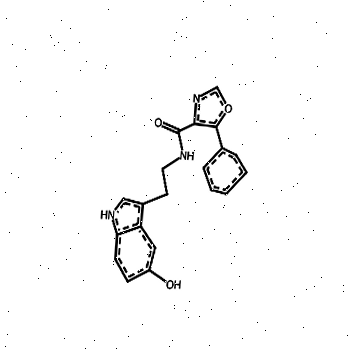 O=C(NCCc1c[nH]c2ccc(O)cc12)c1ncoc1-c1ccccc1